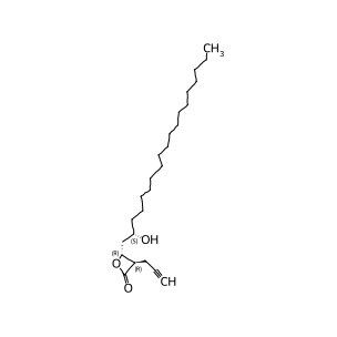 C#CC[C@H]1C(=O)O[C@@H]1C[C@@H](O)CCCCCCCCCCCCCCCCC